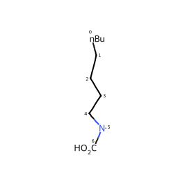 CCCCCCCC[N]C(=O)O